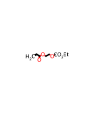 C=CC(=O)OCCOC(=O)OCC